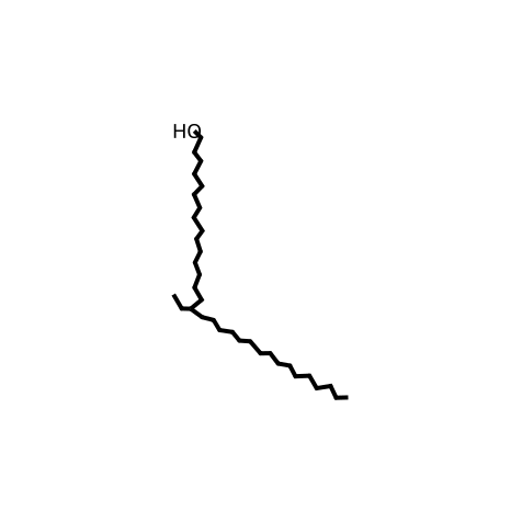 CCCCCCCCCCCCCCCCC(CC)CCCCCCCCCCCCCCCO